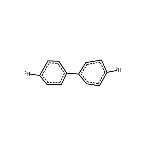 [2H]c1ccc(-c2ccc([2H])cc2)cc1